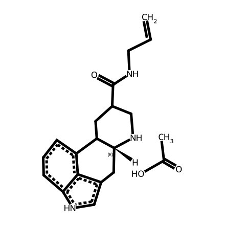 C=CCNC(=O)C1CN[C@@H]2Cc3c[nH]c4cccc(c34)C2C1.CC(=O)O